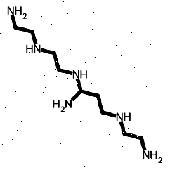 NCCNCCNC(N)CCNCCN